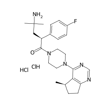 C[C@@H]1CCc2ncnc(N3CCN(C(=O)[C@@H](CC(C)(C)N)c4ccc(F)cc4)CC3)c21.Cl.Cl